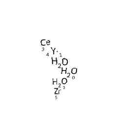 O.O.O.[Ce].[Y].[Zr]